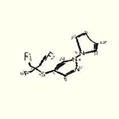 FC(F)(F)Sc1cnn(-n2cccc2)c1